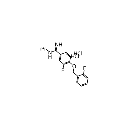 CC(C)NC(=N)c1ccc(OCc2ccccc2F)c(F)c1.Cl.Cl